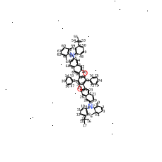 Cc1cccc(C)c1N(c1cccc(C(C)(C)C)c1)c1ccc2cc3c(cc2c1)oc1c(-c2ccccc2)c2c(oc4cc5cc(N(c6cccc(C(C)(C)C)c6)c6c(C)cccc6C)ccc5cc42)c(-c2ccccc2)c13